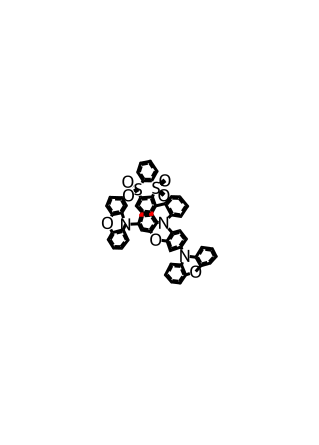 O=S1(=O)c2ccccc2S(=O)(=O)c2c(-c3ccccc3N3c4ccc(N5c6ccccc6Oc6ccccc65)cc4Oc4cc(N5c6ccccc6Oc6ccccc65)ccc43)cccc21